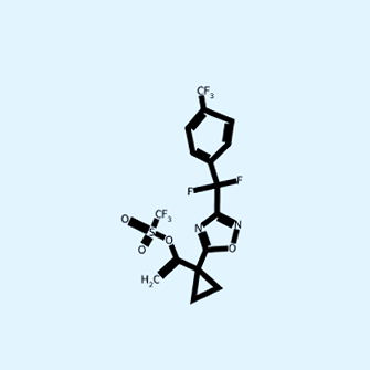 C=C(OS(=O)(=O)C(F)(F)F)C1(c2nc(C(F)(F)c3ccc(C(F)(F)F)cc3)no2)CC1